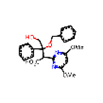 COc1cc(OC)nc(C(C(=O)O)C(CO)(OCc2ccccc2)c2ccccc2)n1